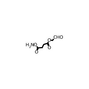 NOC(=O)CCC(=O)OCC=O